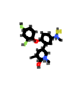 Cc1cc(-c2cc(N(C)S)ccc2Oc2ccc(F)cc2F)cn(C)c1=O